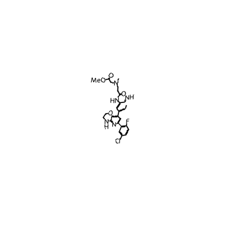 C/C=C(\C=C(/C=N)NC(=O)CCN(C)CC(=O)OC)c1cc(-c2cc(Cl)ccc2F)nc2c1OCCN2